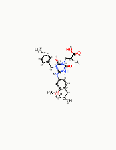 COc1cc(/N=c2\[nH]c(=O)n(C[C@H](C)C(=O)O)c(=O)n2Cc2ccc(C)cc2)ccc1CC(C)C